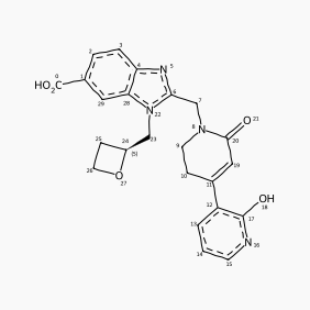 O=C(O)c1ccc2nc(CN3CCC(c4cccnc4O)=CC3=O)n(C[C@@H]3CCO3)c2c1